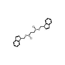 [Cl][Zr]([CH2][CH2][Zr]([Cl])[O]CC1C=Cc2ccccc21)[O]CC1C=Cc2ccccc21